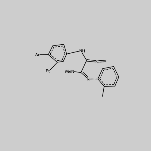 C=C=C(Nc1ccc(C(C)=O)c(CC)c1)/C(=N\c1ccccc1C)NC